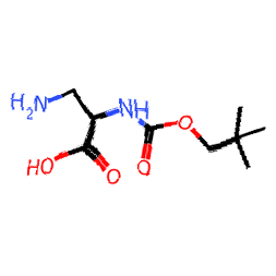 CC(C)(C)COC(=O)NC(CN)C(=O)O